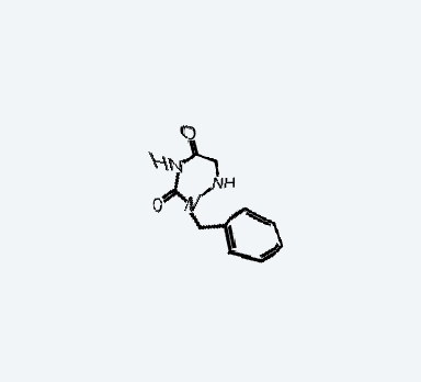 O=C1CNN(Cc2ccccc2)C(=O)N1